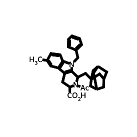 CC(=O)N1C(C(=O)O)Cc2c(n(Cc3ccccc3)c3ccc(C)cc23)C1CC12CC3CC(CC(C3)C1)C2